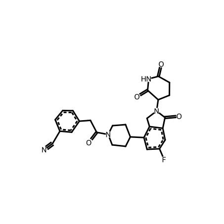 N#Cc1cccc(CC(=O)N2CCC(c3cc(F)cc4c3CN(C3CCC(=O)NC3=O)C4=O)CC2)c1